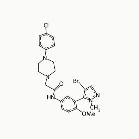 COc1ccc(NC(=O)CN2CCN(c3ccc(Cl)cc3)CC2)cc1-c1c(Br)cnn1C